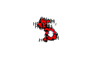 CN[C@@H](CC(=O)O)C(=O)N[C@@H](CCCNC(=N)N)C(=O)N[C@@H](CC(=O)O)C(=O)N[C@@H](CC(=O)O)C(=O)N[C@@H](CSSCCOC(=O)O[C@@H]1/C(C)=C/[C@@H](C)C(=O)C[C@@H]([C@H](C)C[C@@H]2CC[C@@H](O)[C@H](OC)C2)OC(=O)[C@@H]2CCCCN2C(=O)C(=O)[C@]2(O)O[C@@H](CC[C@H]2C)C[C@H](OC)/C(C)=C/C=C/C=C/[C@@H](C)C[C@@H](C)C(=O)[C@@H]1OC)C(=O)O